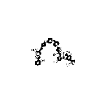 CC(C)[C@@H](C(=O)N1C[C@H](O)C[C@H]1C(=O)N[C@@H](C)c1ccc(-c2ccnn2C)cc1)c1cc(N2CCC(CN3CCC(O[C@H]4C[C@H](C#Cc5cn6cc(-c7ccccc7O)nc6nc5N)C4)CC3)CC2)no1